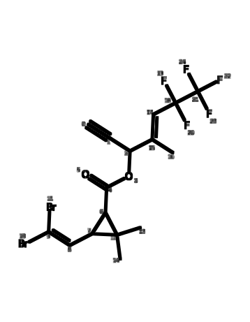 C#CC(OC(=O)C1C(C=C(Br)Br)C1(C)C)/C(C)=C/C(F)(F)C(F)(F)F